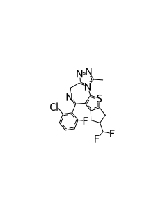 Cc1nnc2n1-c1sc3c(c1C(c1c(F)cccc1Cl)=NC2)CC(C(F)F)C3